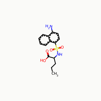 CCCC(NS(=O)(=O)c1ccc(N)c2ccccc12)C(=O)O